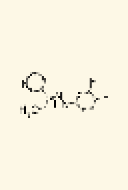 CC/C(=N\Nc1ccc(F)c(F)c1)c1cccnc1